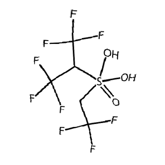 O=S(O)(O)(CC(F)(F)F)C(C(F)(F)F)C(F)(F)F